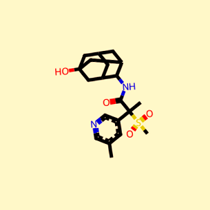 Cc1cncc(C(C)(C(=O)NC2C3CC4CC2CC(O)(C4)C3)S(C)(=O)=O)c1